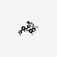 Cc1c(-c2cn(C)cn2)cccc1[C@H](Nc1cc(Cl)c2ncc(C#N)c(NCC(C)(C)C)c2c1)c1cn(C2(C(F)(F)F)CC2)nn1